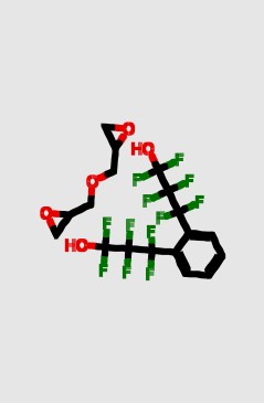 C(OCC1CO1)C1CO1.OC(F)(F)C(F)(F)C(F)(F)c1ccccc1C(F)(F)C(F)(F)C(O)(F)F